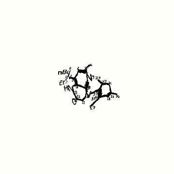 CCCCN(CC)c1cc(C)nc2c1NC(=O)CN2c1c(C)cc(C)cc1C